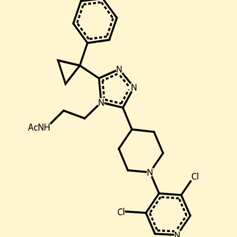 CC(=O)NCCn1c(C2CCN(c3c(Cl)cncc3Cl)CC2)nnc1C1(c2ccccc2)CC1